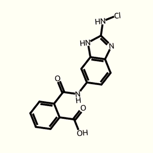 O=C(O)c1ccccc1C(=O)Nc1ccc2nc(NCl)[nH]c2c1